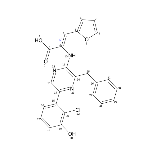 O=C(O)/C(=C/c1ccco1)Nc1ncc(-c2cccc(O)c2Cl)nc1Cc1ccccc1